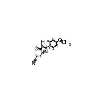 COc1ccc(-c2nn(CCC#N)c(=O)[nH]2)cc1